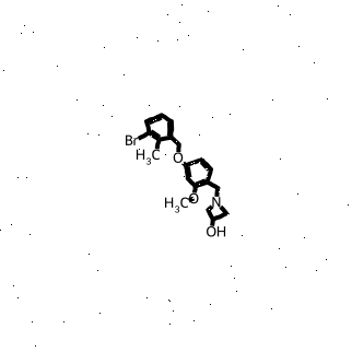 COc1cc(OCc2cccc(Br)c2C)ccc1CN1CC(O)C1